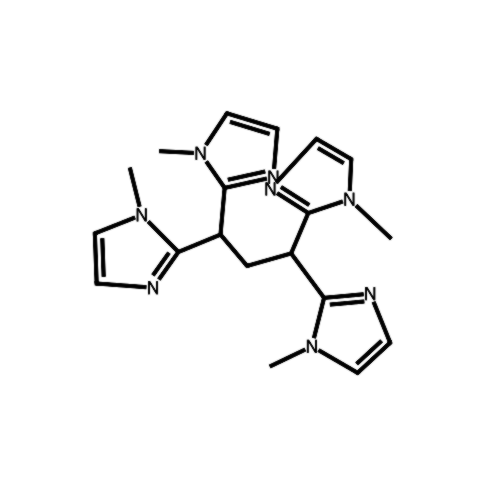 Cn1ccnc1C(CC(c1nccn1C)c1nccn1C)c1nccn1C